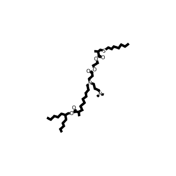 CCCCCCCSCC(C)C(=O)OCCOC(=O)CCN(CCCCCCCCC(C)C(=O)OCC(CCCCC)CCCCC)CCCN(C)C